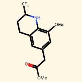 COC(=O)Cc1cc2c(c(OC)c1)NC(C(F)(F)F)CC2